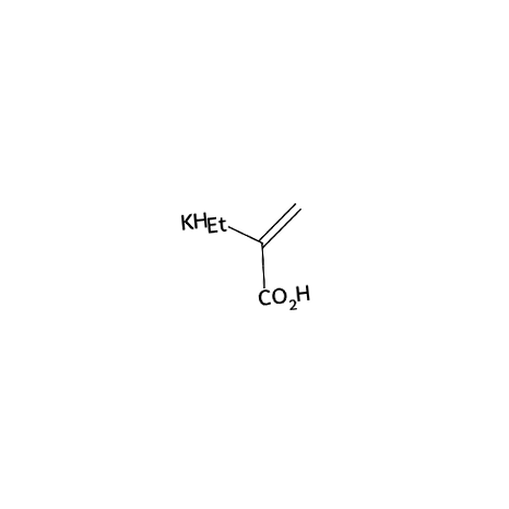 C=C(CC)C(=O)O.[KH]